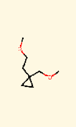 COCCC1(COC)CC1